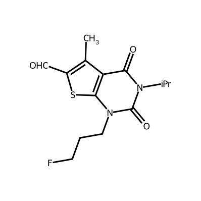 Cc1c(C=O)sc2c1c(=O)n(C(C)C)c(=O)n2CCCF